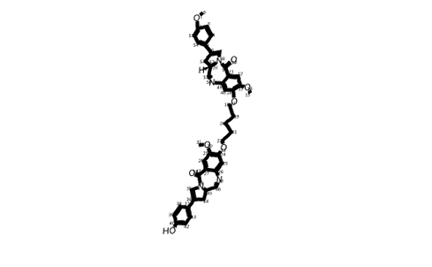 COc1ccc(C2=CN3C(=O)c4cc(OC)c(OCCCCCOc5cc6c(cc5OC)C(=O)N5C=C(c7ccc(O)cc7)CC5C=N6)cc4N=C[C@@H]3C2)cc1